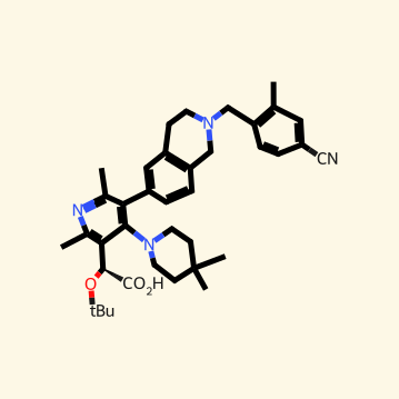 Cc1cc(C#N)ccc1CN1CCc2cc(-c3c(C)nc(C)c([C@H](OC(C)(C)C)C(=O)O)c3N3CCC(C)(C)CC3)ccc2C1